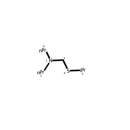 CCCN(CCC)CSC(C)C